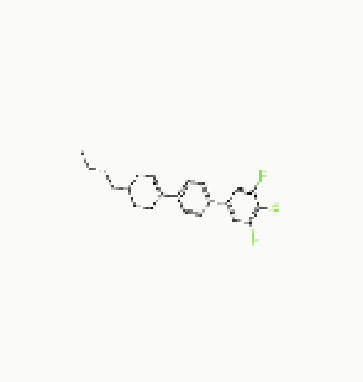 CCCCC1CC=C(c2ccc(-c3cc(F)c(F)c(F)c3)cc2)CC1